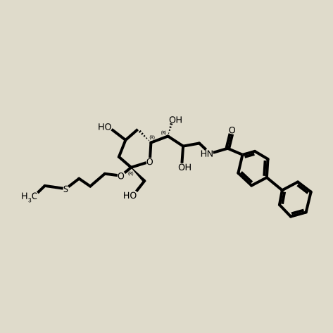 CCSCCCO[C@]1(CO)CC(O)C[C@H]([C@H](O)C(O)CNC(=O)c2ccc(-c3ccccc3)cc2)O1